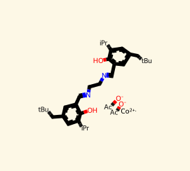 CC(=O)[O-].CC(=O)[O-].CC(C)c1cc(CC(C)(C)C)cc(C=NCCN=Cc2cc(CC(C)(C)C)cc(C(C)C)c2O)c1O.[Co+2]